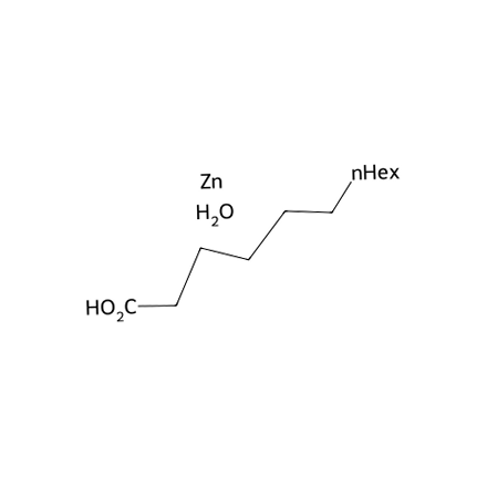 CCCCCCCCCCCC(=O)O.O.[Zn]